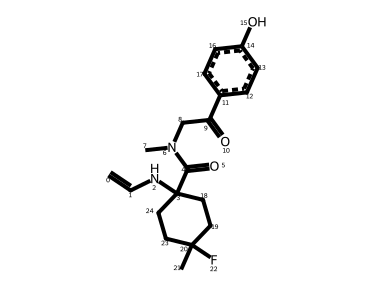 C=CNC1(C(=O)N(C)CC(=O)c2ccc(O)cc2)CCC(C)(F)CC1